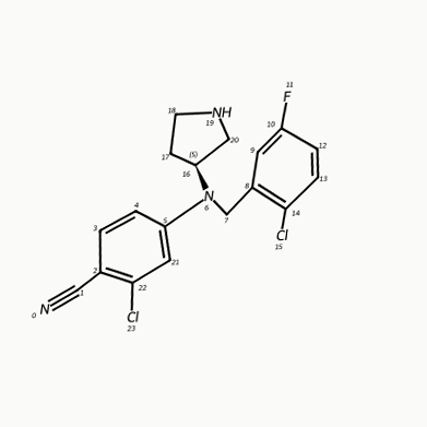 N#Cc1ccc(N(Cc2cc(F)ccc2Cl)[C@H]2CCNC2)cc1Cl